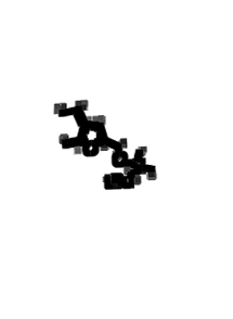 C=c1oc(CO[Si](C)(C)C(C)(C)C)c/c1=C/C